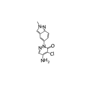 Cn1cc2cc(-n3ncc(N)c(Cl)c3=O)ccc2n1